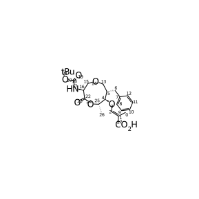 CC(=CO[C@@H]1[C@@H](Cc2ccccc2)COC[C@H](NC(=O)OC(C)(C)C)C(=O)O[C@H]1C)C(=O)O